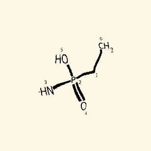 CCP([NH])(=O)O